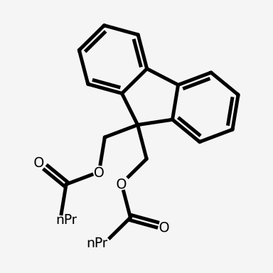 CCCC(=O)OCC1(COC(=O)CCC)c2ccccc2-c2ccccc21